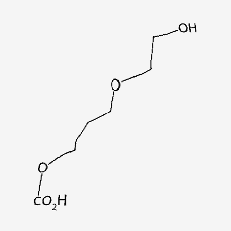 O=C(O)OCCCOCCO